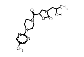 CC(O)CN1CC(C(=O)N2CCN(c3ncc(C(F)(F)F)cn3)CC2)OC1=O